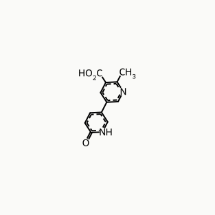 Cc1ncc(-c2ccc(=O)[nH]c2)cc1C(=O)O